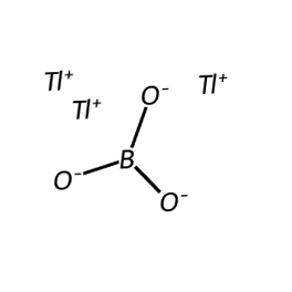 [O-]B([O-])[O-].[Tl+].[Tl+].[Tl+]